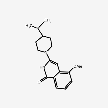 COc1cccc2c(=O)[nH]c(N3CCC(N(C)C)CC3)cc12